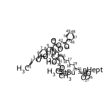 CC#CCOc1ccc(C[C@H](NC(=O)[C@@H](C=CCCCCCCC2(CCCCCCC)OCCO2)[C@@](O)(CCO[Si](C)(C)C(C)(C)C)C(=O)O)C(=O)OCC(=O)c2ccccc2)cc1